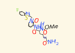 COC(=O)NC(CC/C=C/C(N)=O)C(=O)Nc1cccn(Cc2nc3cc(F)ccc3s2)c1=O